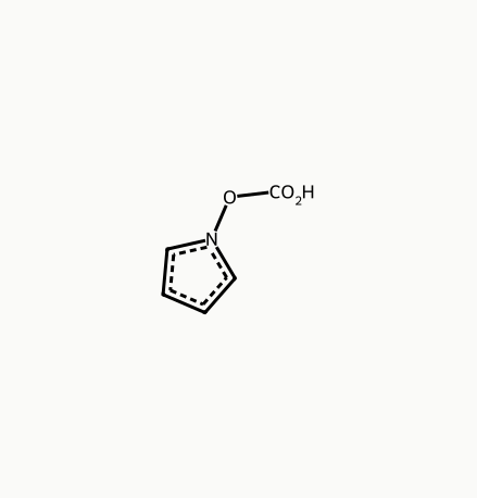 O=C(O)On1cccc1